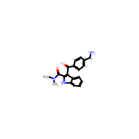 CN(C)C(=O)c1[nH]c2ccccc2c1C(=O)c1ccc(CN)cc1